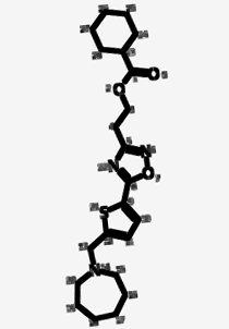 O=C(OCCc1noc(-c2ccc(CN3CCCCCC3)s2)n1)C1CCCCC1